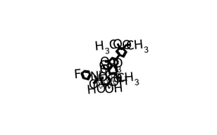 COc1ccc(-c2cc(=O)c3c(OC)c([C@@H]4O[C@H](C(=O)Nc5ccc(F)cc5)[C@@H](O)[C@H](O)[C@H]4O)c(OC)cc3o2)cc1OC